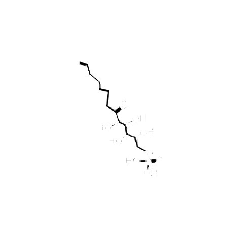 C=CCCCCCC(=O)[C@H](O)[C@@H](O)[C@H](O)[C@H](O)COP(=O)(O)O